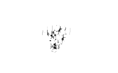 CC(C)(Cc1nnc2ccc(-c3c(-c4ccc(F)cc4)nc4occn34)cn12)C(=O)O